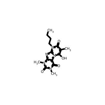 CCCCn1c(=O)c(C)c(O)n2c3c(=O)n(C)c(=O)n(C)c3nc12